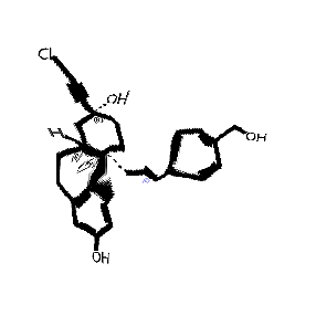 OCc1ccc(/C=C/C[C@@]23CC[C@](O)(C#CCl)C[C@H]2CCc2cc(O)ccc23)cc1